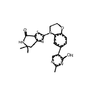 Cc1ncc(-c2ccc3c(c2)N(c2nc4c(s2)C(=O)NC(C)(C)C4)CCO3)c(O)n1